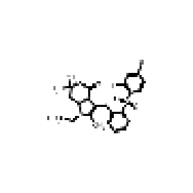 CC1=C(Cc2cccnc2S(=O)(=O)c2ccc(F)cc2F)C2C(=O)CC(C)(C)CC2N1CC(=O)O